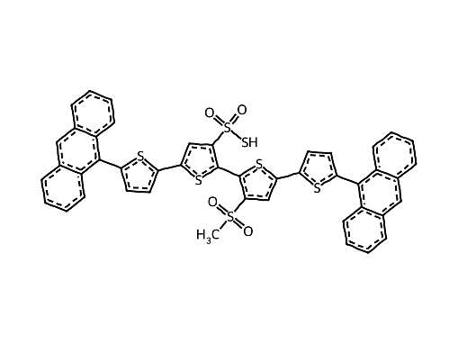 CS(=O)(=O)c1cc(-c2ccc(-c3c4ccccc4cc4ccccc34)s2)sc1-c1sc(-c2ccc(-c3c4ccccc4cc4ccccc34)s2)cc1S(=O)(=O)S